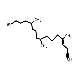 C#CCC=C(C)CCCC(C)CCCC(C)CCCC(C)C